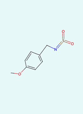 COc1ccc(CN=S(=O)=O)cc1